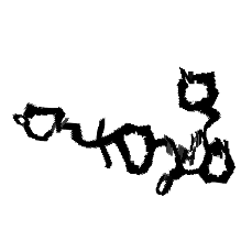 CC(C)(CCN1CCOCC1)c1ccc(NC(=O)c2cccnc2NCc2ccncc2)cc1